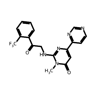 Cn1c(NCC(=O)c2ccccc2C(F)(F)F)nc(-c2ccncn2)cc1=O